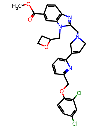 COC(=O)c1ccc2nc(CN3CC=C(c4cccc(COc5ccc(Cl)cc5Cl)n4)C3)n(CC3CCO3)c2c1